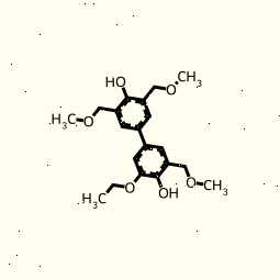 CCOc1cc(-c2cc(COC)c(O)c(COC)c2)cc(COC)c1O